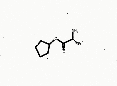 CC(C)[C@H](N)C(=O)OC1CCCC1